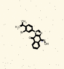 C=C(C)c1ccc(-n2cnc3c2C(=O)c2ccccc2/C3=N\O)cc1Br